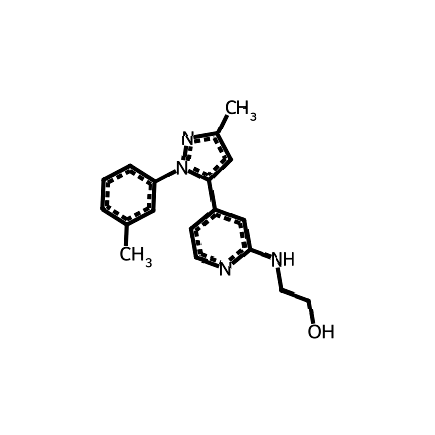 Cc1cccc(-n2nc(C)cc2-c2ccnc(NCCO)c2)c1